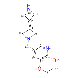 c1nc2c(cc1SN1CC(=C3CNC3)C1)OCCO2